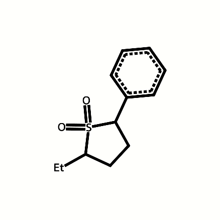 CCC1CCC(c2ccccc2)S1(=O)=O